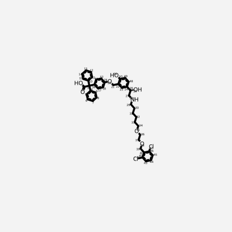 O=C(O)C(c1ccccc1)(c1ccccc1)c1ccc(OCc2cc([C@@H](O)CNCCCCCCOCCOCc3c(Cl)cccc3Cl)ccc2O)cc1